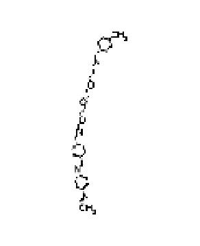 CC=Nc1ccc(N=Cc2ccc(C=NCOCCOCCOCCCN=Cc3ccc(C)cc3)cc2)cc1